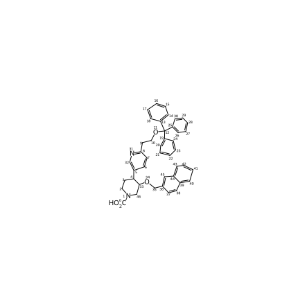 O=C(O)N1CCC(c2ccc(CCOC(c3ccccc3)(c3ccccc3)c3ccccc3)nc2)C(OCc2ccc3ccccc3c2)C1